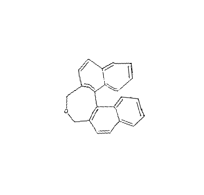 c1ccc2c3c(ccc2c1)COCc1ccc2ccccc2c1-3